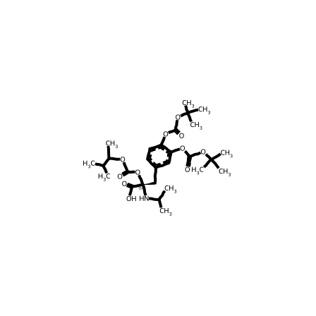 CC(C)N[C@@](Cc1ccc(OC(=O)OC(C)(C)C)c(OC(=O)OC(C)(C)C)c1)(OC(=O)OC(C)C(C)C)C(=O)O